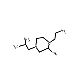 CC(N)CN1CCN(CCN)C(C)C1